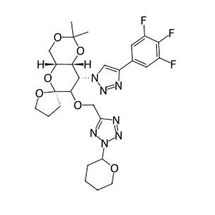 CC1(C)OC[C@H]2O[C@@]3(CCCO3)C(OCc3nnn(C4CCCCO4)n3)[C@@H](n3cc(-c4cc(F)c(F)c(F)c4)nn3)[C@H]2O1